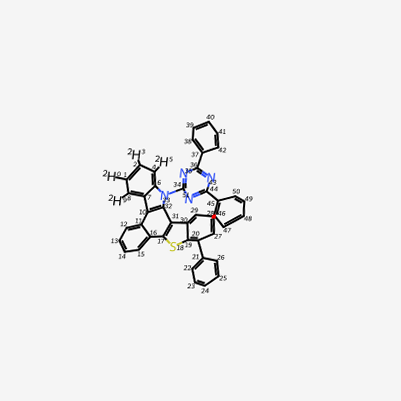 [2H]c1c([2H])c([2H])c2c(c1[2H])c1c3ccccc3c3sc4c(-c5ccccc5)cccc4c3c1n2-c1nc(-c2ccccc2)nc(-c2ccccc2)n1